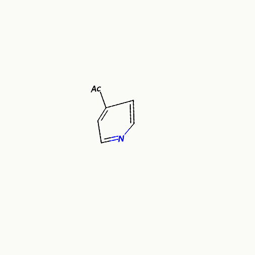 CC(=[17O])c1ccncc1